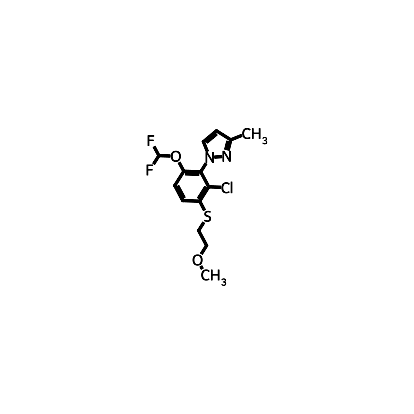 COCCSc1ccc(OC(F)F)c(-n2ccc(C)n2)c1Cl